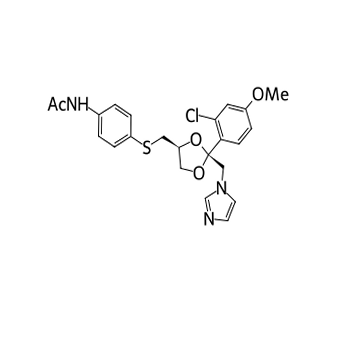 COc1ccc([C@]2(Cn3ccnc3)OC[C@@H](CSc3ccc(NC(C)=O)cc3)O2)c(Cl)c1